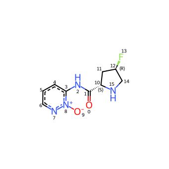 O=C(Nc1cccn[n+]1[O-])[C@@H]1C[C@@H](F)CN1